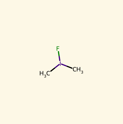 CI(C)F